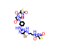 O=C1N[C@H](C(=O)NCCCNc2nc(Nc3cccc(N4C(=O)CN(C(=O)[C@@H]5CSC(=O)N5)C4=O)c3)ncc2Br)CS1